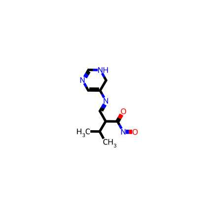 CC(C)C(/C=N/C1=CN=CNC1)C(=O)N=O